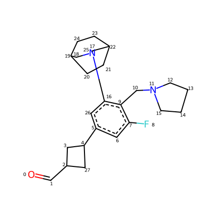 O=CC1CC(c2cc(F)c(CN3CCCC3)c(N3CC4CCC(CC4)C3)c2)C1